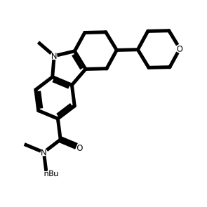 CCCCN(C)C(=O)c1ccc2c(c1)c1c(n2C)CCC(C2CCOCC2)C1